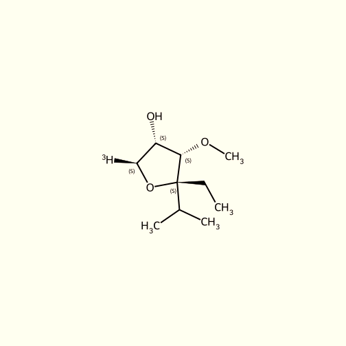 [3H][C@@H]1O[C@@](CC)(C(C)C)[C@@H](OC)[C@H]1O